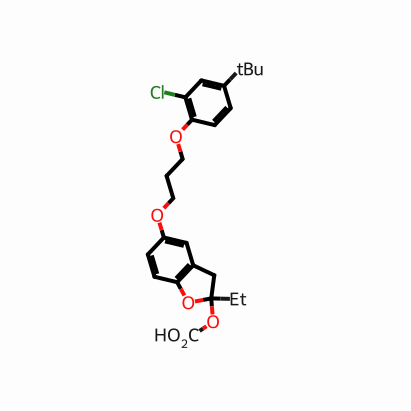 CCC1(OC(=O)O)Cc2cc(OCCCOc3ccc(C(C)(C)C)cc3Cl)ccc2O1